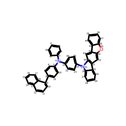 c1ccc(N(c2ccc(-c3cccc4ccccc34)cc2)c2ccc(-n3c4ccccc4c4cc5oc6ccccc6c5cc43)cc2)cc1